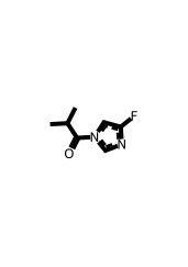 CC(C)C(=O)n1cnc(F)c1